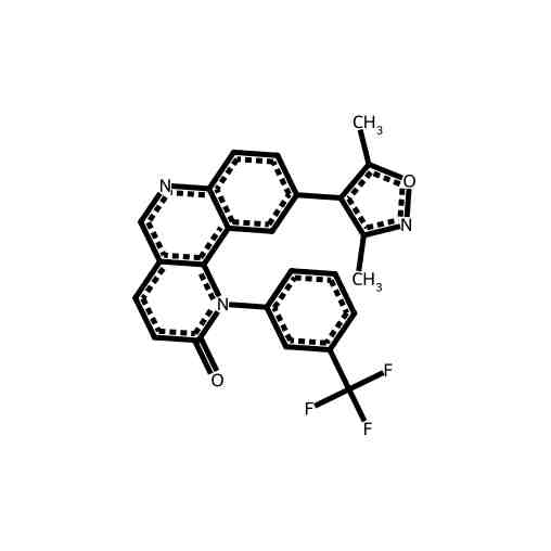 Cc1noc(C)c1-c1ccc2ncc3ccc(=O)n(-c4cccc(C(F)(F)F)c4)c3c2c1